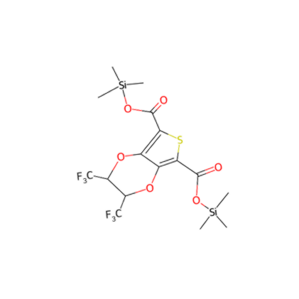 C[Si](C)(C)OC(=O)c1sc(C(=O)O[Si](C)(C)C)c2c1OC(C(F)(F)F)C(C(F)(F)F)O2